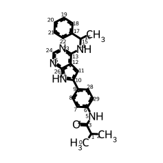 CC(C)C(=O)Nc1ccc(-c2cc3c(NC(C)c4ccccc4)ncnc3[nH]2)cc1